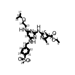 CCOC(=O)c1sc(Nc2nc(NCCOC(C)C)cc(NCc3ccc(S(C)(=O)=O)cc3)n2)nc1C